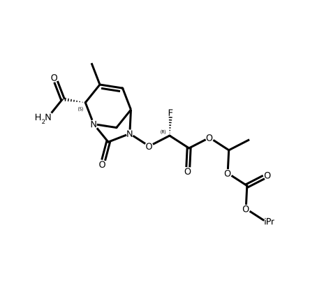 CC1=CC2CN(C(=O)N2O[C@H](F)C(=O)OC(C)OC(=O)OC(C)C)[C@@H]1C(N)=O